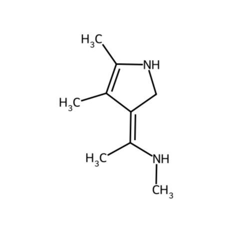 CN/C(C)=C1\CNC(C)=C1C